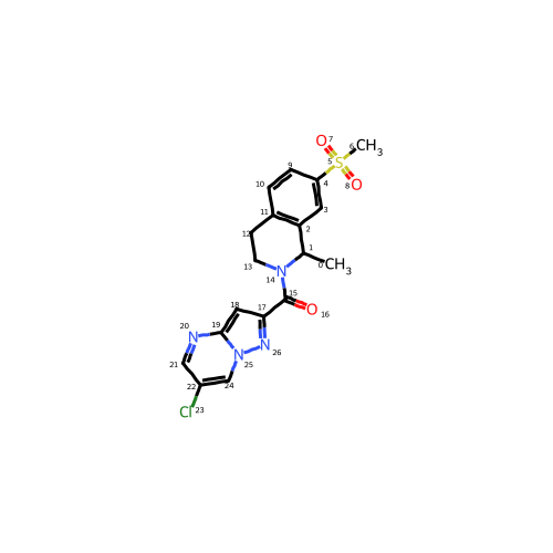 CC1c2cc(S(C)(=O)=O)ccc2CCN1C(=O)c1cc2ncc(Cl)cn2n1